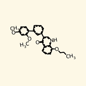 CCCOc1cccc2c(=O)c(-c3cccc(-c4ccc(OC)cc4OC)c3)c[nH]c12